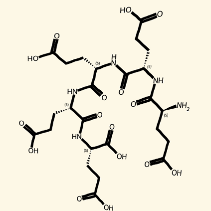 N[C@@H](CCC(=O)O)C(=O)N[C@@H](CCC(=O)O)C(=O)N[C@@H](CCC(=O)O)C(=O)N[C@@H](CCC(=O)O)C(=O)N[C@@H](CCC(=O)O)C(=O)O